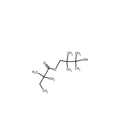 CCC(C)(C)C(=O)OCC(C)(C)C(C)(C)O